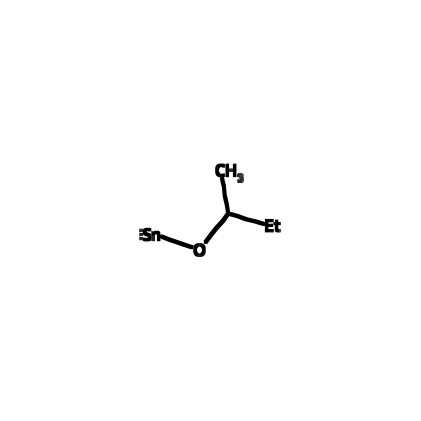 CCC(C)[O][Sn]